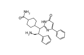 NC[C@H](c1ccccc1)C(c1nc(-c2ccccc2)cc(=O)[nH]1)C1CCC(C(N)=O)CC1